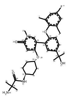 Cc1cc(F)cc(C)c1Oc1ccc(C(C)(C)O)cc1-c1cn(C)c(=O)cc1O[C@H]1CC[C@H](NC(=O)C(C)(C)N)CC1